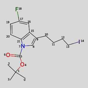 CC(C)(C)OC(=O)n1cc(CCCCI)c2cc(F)ccc21